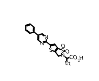 CCC(C(=O)O)N1Cc2sc(-c3ncc(-c4ccccc4)cn3)cc2S1(=O)=O